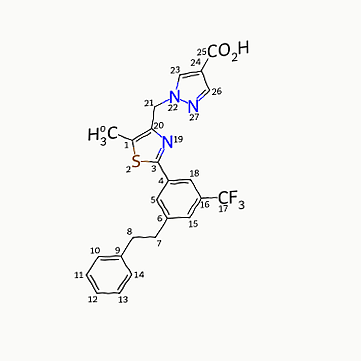 Cc1sc(-c2cc(CCc3ccccc3)cc(C(F)(F)F)c2)nc1Cn1cc(C(=O)O)cn1